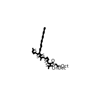 C#CC#CC#CC#CC#CC#Cc1c(-c2ccc(C)s2)sc2c(C)c(-c3ccc(-c4sc(C)c5c4C(=O)N(CC(CCCCCCCC)CCCCCCCCCC)C5=O)s3)sc12